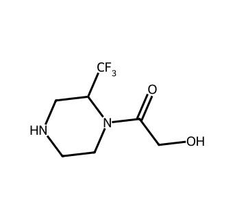 O=C(CO)N1CCNCC1C(F)(F)F